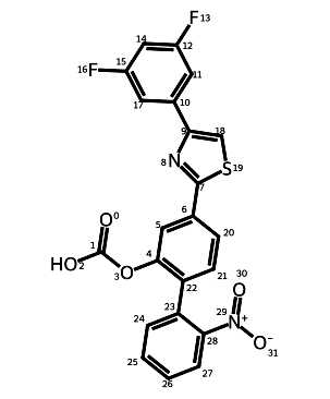 O=C(O)Oc1cc(-c2nc(-c3cc(F)cc(F)c3)cs2)ccc1-c1ccccc1[N+](=O)[O-]